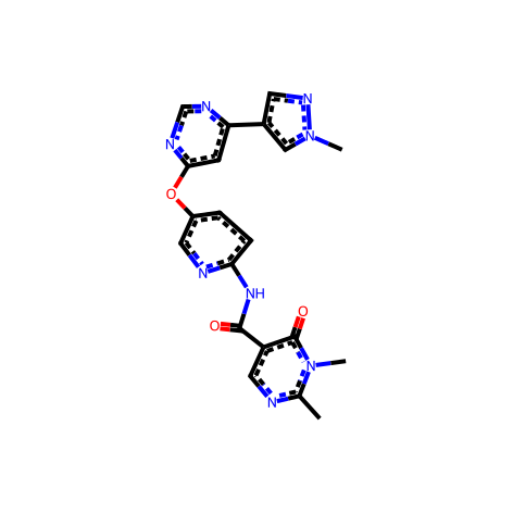 Cc1ncc(C(=O)Nc2ccc(Oc3cc(-c4cnn(C)c4)ncn3)cn2)c(=O)n1C